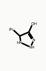 CC(C)C1NNN=C1O